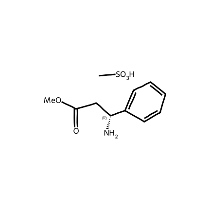 COC(=O)C[C@@H](N)c1ccccc1.CS(=O)(=O)O